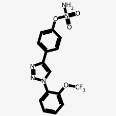 NS(=O)(=O)Oc1ccc(-c2cn(-c3ccccc3OC(F)(F)F)nn2)cc1